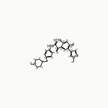 C=C(Nc1ccc(CC2CCN(C)CC2)cc1)C(=C)c1cc(-c2cnn(C)c2)c(F)cc1N